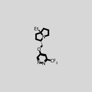 CC[C@@]12CCCN1[C@H](COc1cnnc(C(F)(F)F)c1)CC2